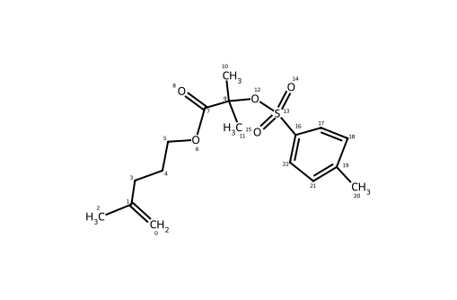 C=C(C)CCCOC(=O)C(C)(C)OS(=O)(=O)c1ccc(C)cc1